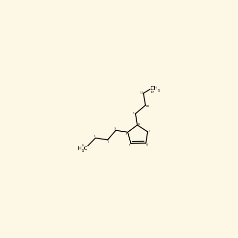 CCCCC1C=CCC1CCCC